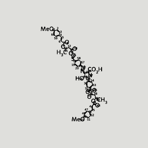 COc1ccc(C=CC(=O)OC(C)CC(=O)OOSc2ccc(/N=N/C3C(C(=O)O)=NN(c4ccc(S(=O)(=O)C(=O)CC(C)OC(=O)C=Cc5ccc(OC)cc5)cc4)C3O)cc2)cc1